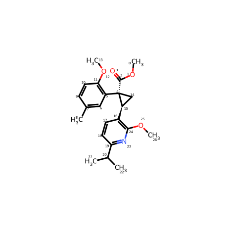 COC(=O)[C@]1(c2cc(C)ccc2OC)C[C@H]1c1ccc(C(C)C)nc1OC